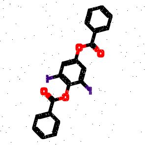 O=C(Oc1cc(I)c(OC(=O)c2ccccc2)c(I)c1)c1ccccc1